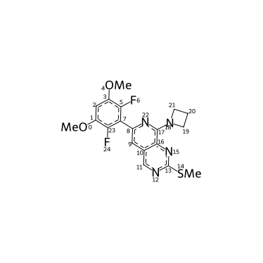 COc1cc(OC)c(F)c(-c2cc3cnc(SC)nc3c(N3CCC3)n2)c1F